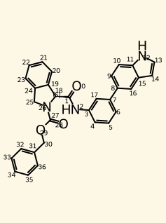 O=C(Nc1cccc(-c2ccc3[nH]ccc3c2)c1)[C@@H]1c2ccccc2CN1C(=O)OCc1ccccc1